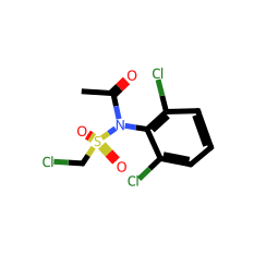 CC(=O)N(c1c(Cl)cccc1Cl)S(=O)(=O)CCl